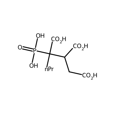 CCCC(C(=O)O)(C(CC(=O)O)C(=O)O)P(=O)(O)O